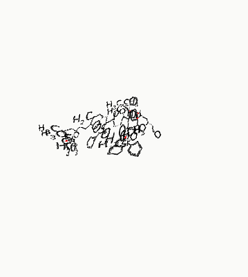 C=C=C(C)CC(CC[C@@H]1O[C@@H](CC(C(=O)C[C@H]2O[C@H]3[C@@H](O[Si](c4ccccc4)(c4ccccc4)C(C)(C)C)[C@H]4O[C@@H](CC=O)CC[C@@H]4O[C@H]3[C@H]2O[Si](c2ccccc2)(c2ccccc2)C(C)(C)C)S(=O)(=O)c2ccccc2)CC1=C)O[Si](CC)(CC)CC